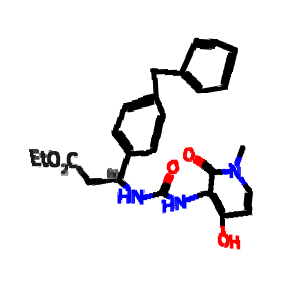 CCOC(=O)C[C@H](NC(=O)Nc1c(O)ccn(C)c1=O)c1ccc(Cc2ccccc2)cc1